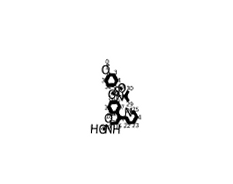 COc1ccc(S(=O)(=O)N(c2cccc(/C(=C\C(=O)NO)c3ccccn3)c2)C(C)C)cc1